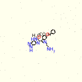 CC(=O)O.NCCCn1cc(-c2nc3cc4[nH]cnc4cc3[nH]c2=O)c2ccc(OCc3ccccc3)cc21